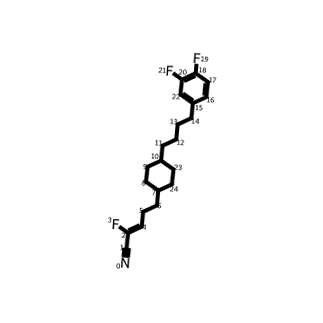 N#CC(F)=CCCC1CCC(CCCCc2ccc(F)c(F)c2)CC1